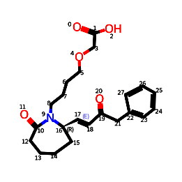 O=C(O)COCCCCN1C(=O)CCCC[C@@H]1/C=C/C(=O)Cc1ccccc1